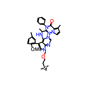 COc1ccc(C)cc1-c1cn(COCC[Si](C)(C)C)c2ncnc(NC(C)c3nn4ccc(C)c4c(=O)n3-c3ccccc3)c12